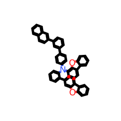 c1cc(-c2ccc(N(c3ccccc3-c3ccc4c(c3)oc3ccccc34)c3cccc4c3oc3ccccc34)cc2)cc(-c2ccc3ccccc3c2)c1